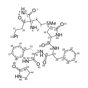 CSCCC(N)(C(N)=O)C(=O)CCC(C)C.O=C1CCC(C(=O)NC(Cc2ccccc2)C(=O)N[C@@H](Cc2ccccc2)C(=O)N[C@@H]2CCNC2=O)N1